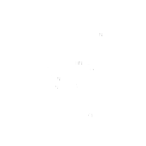 O=C(NCCc1c(Sc2ccc(Cl)cc2)cnn1C1CC1)c1ccc2ncccc2c1